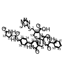 Cn1nnnc1SCC1=C(C(=O)O)N2C(=O)C(N(Cc3ccc(-c4ccc(NC(=O)[C@@H]5CCC(=O)N5)cc4)[nH]c3=O)C(=O)C(N)c3ccccc3)[C@@H]2SC1